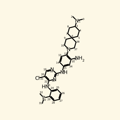 CN(C)C1CCC2(CC1)CCN(c1ccc(Nc3ncc(Cl)c(Nc4ccccc4P(C)C)n3)cc1N)CC2